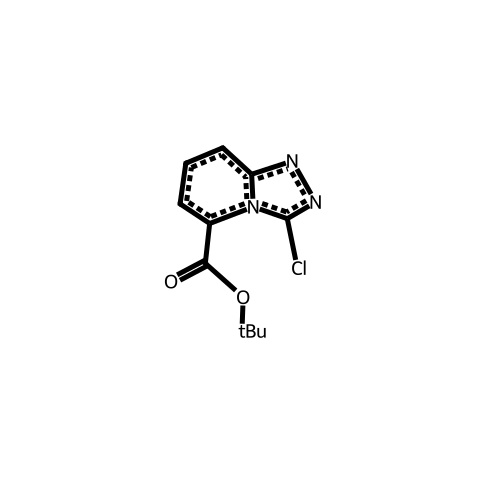 CC(C)(C)OC(=O)c1cccc2nnc(Cl)n12